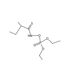 CCOP(=O)(OCC)ONC(=S)C(C)CC